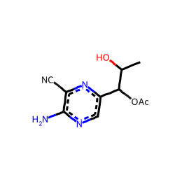 CC(=O)OC(c1cnc(N)c(C#N)n1)C(C)O